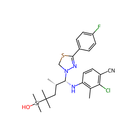 Cc1c(N[C@H]([C@@H](C)CC(C)(C)[Si](C)(C)O)N2CSC(c3ccc(F)cc3)=N2)ccc(C#N)c1Cl